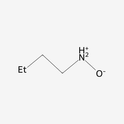 CCCC[NH2+][O-]